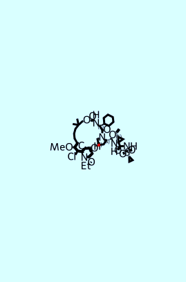 C=C[C@@H]1CC1(NC(=O)[C@@H]1C[C@@H]2CN1C(=O)[C@H](C1CCCCC1)NC(=O)OCC(C)(C)CCCc1cc3c(cc(OCC)nc3c(Cl)c1OC)O2)C(=O)NS(=O)(=O)C1CC1